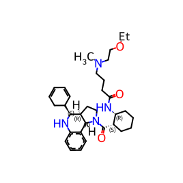 CCOCCN(C)CCCC(=O)N[C@@H]1CCCC[C@@H]1C(=O)N1CC[C@@H]2[C@H](C3C=CC=CC3)Nc3ccccc3[C@@H]21